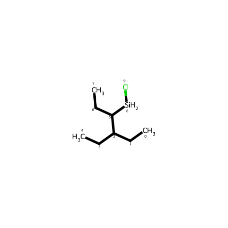 CC[C](CC)C(CC)[SiH2]Cl